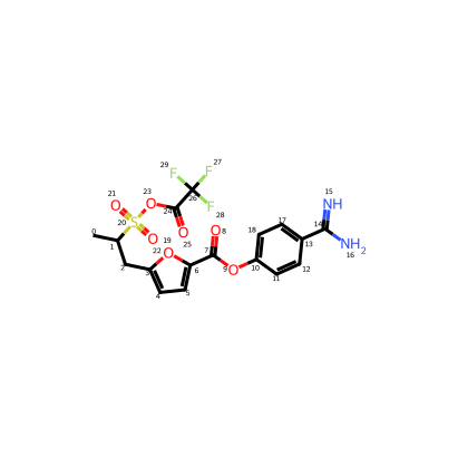 CC(Cc1ccc(C(=O)Oc2ccc(C(=N)N)cc2)o1)S(=O)(=O)OC(=O)C(F)(F)F